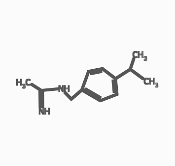 CC(=N)NCc1ccc(C(C)C)cc1